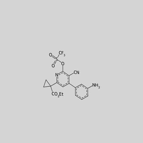 CCOC(=O)C1(c2cc(-c3cccc(N)c3)c(C#N)c(OS(=O)(=O)C(F)(F)F)n2)CC1